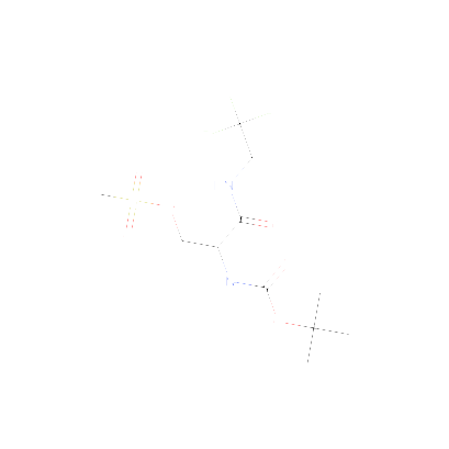 CC(C)(C)OC(=O)NC(COS(C)(=O)=O)C(=O)NCC(F)(F)F